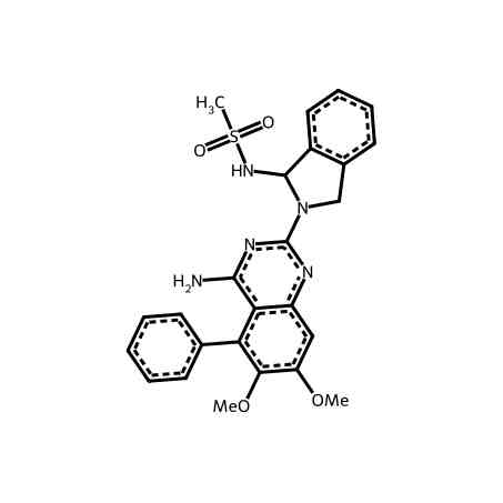 COc1cc2nc(N3Cc4ccccc4C3NS(C)(=O)=O)nc(N)c2c(-c2ccccc2)c1OC